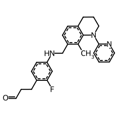 Cc1c(CNc2ccc(CCC=O)c(F)c2)ccc2c1N(c1ccccn1)CCC2